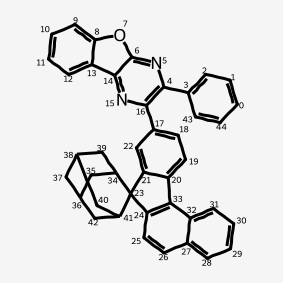 c1ccc(-c2nc3oc4ccccc4c3nc2-c2ccc3c(c2)C2(c4ccc5ccccc5c4-3)C3CC4CC(C3)CC2C4)cc1